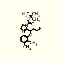 Cc1cccc(OC(CCF)C2=NCCN2C(=O)OC(C)(C)C)c1C